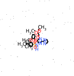 CCOC(COc1nc(-c2ncccn2)nc(NS(=O)(=O)c2ccc(C(C)(C)C)cc2)c1Oc1ccccc1OC)OCC